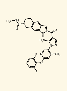 CNC(=O)N1CCc2cc3cc(C(=O)c4cnn(-c5cnc(Oc6c(F)cccc6F)cc5C)c4N)[nH]c3cc2C1